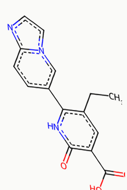 CCc1cc(C(=O)O)c(=O)[nH]c1-c1ccc2nccn2c1